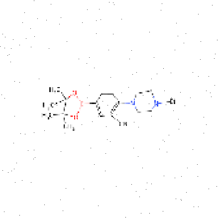 CCN1CCN(c2ccc(B3OC(C)(C)C(C)(C)O3)cc2C#N)CC1